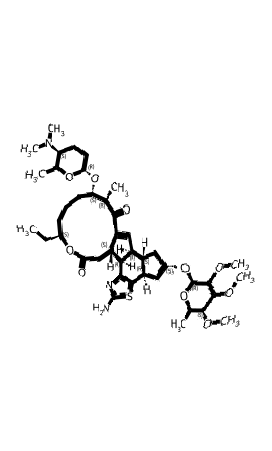 CC[C@H]1CCC[C@H](O[C@H]2CC[C@H](N(C)C)C(C)O2)[C@@H](C)C(=O)C2=C[C@H]3[C@@H]4C[C@H](O[C@@H]5OC(C)[C@H](OC)C(OC)C5OC)C[C@H]4c4sc(N)nc4[C@H]3[C@@H]2CC(=O)O1